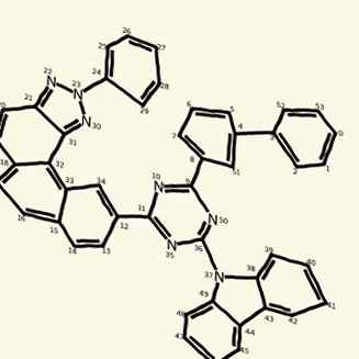 c1ccc(-c2cccc(-c3nc(-c4ccc5ccc6ccc7nn(-c8ccccc8)nc7c6c5c4)nc(-n4c5ccccc5c5ccccc54)n3)c2)cc1